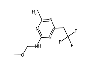 COCNc1nc(N)nc(CC(F)(F)F)n1